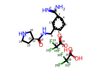 N=C(N)c1cccc(CNC(=O)[C@H]2CCNC2)c1.O=C(O)C(F)(F)F.O=C(O)C(F)(F)F